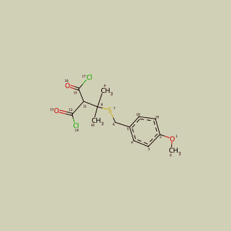 COc1ccc(CSC(C)(C)C(C(=O)Cl)C(=O)Cl)cc1